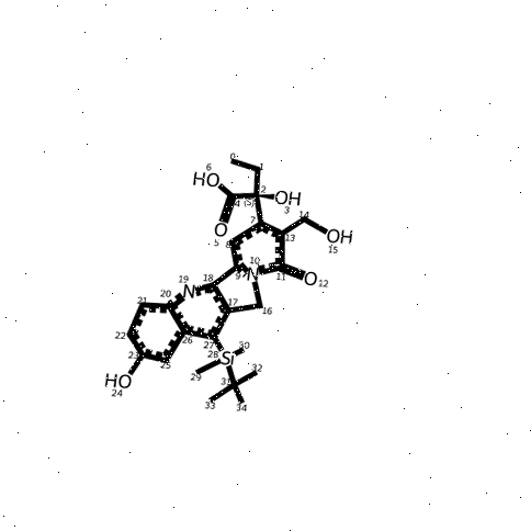 CC[C@@](O)(C(=O)O)c1cc2n(c(=O)c1CO)Cc1c-2nc2ccc(O)cc2c1[Si](C)(C)C(C)(C)C